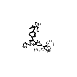 Cc1noc(C)c1-c1cnc2c(-c3ccc(C4(C(=O)O)CC4)cc3)cn(Cc3ccccn3)c2c1